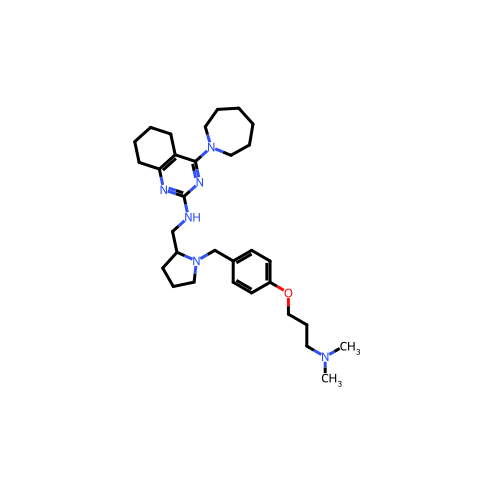 CN(C)CCCOc1ccc(CN2CCCC2CNc2nc3c(c(N4CCCCCC4)n2)CCCC3)cc1